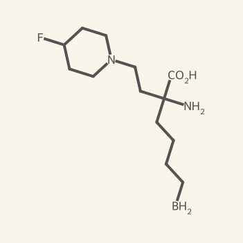 BCCCCC(N)(CCN1CCC(F)CC1)C(=O)O